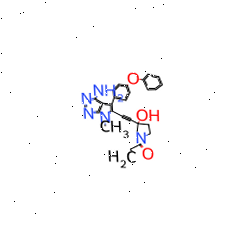 C=CC(=O)N1CCC(O)(C#Cc2c(-c3ccc(Oc4ccccc4)cc3)c3c(N)ncnc3n2C)C1